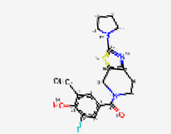 O=Cc1cc(C(=O)N2CCc3nc(N4CCCC4)sc3C2)cc(F)c1O